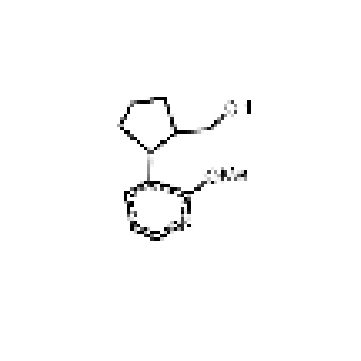 COc1ncccc1C1CCCC1CO